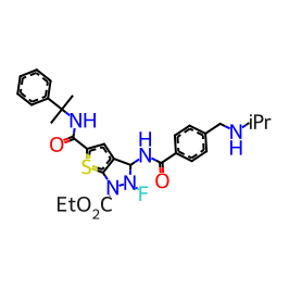 CCOC(=O)N1c2sc(C(=O)NC(C)(C)c3ccccc3)cc2C(NC(=O)c2ccc(CNC(C)C)cc2)N1F